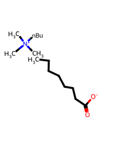 CCCCCCCC(=O)[O-].CCCC[N+](C)(C)C